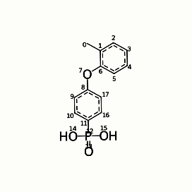 Cc1ccccc1Oc1ccc(P(=O)(O)O)cc1